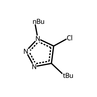 CCCCn1nnc(C(C)(C)C)c1Cl